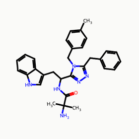 Cc1ccc(Cn2c(Cc3ccccc3)nnc2C(Cc2c[nH]c3ccccc23)NC(=O)C(C)(C)N)cc1